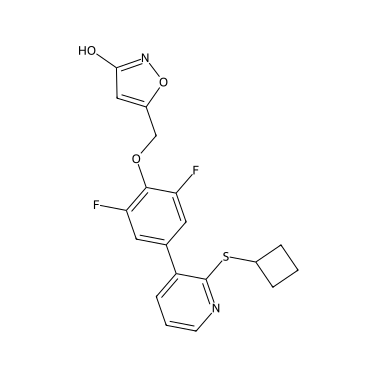 Oc1cc(COc2c(F)cc(-c3cccnc3SC3CCC3)cc2F)on1